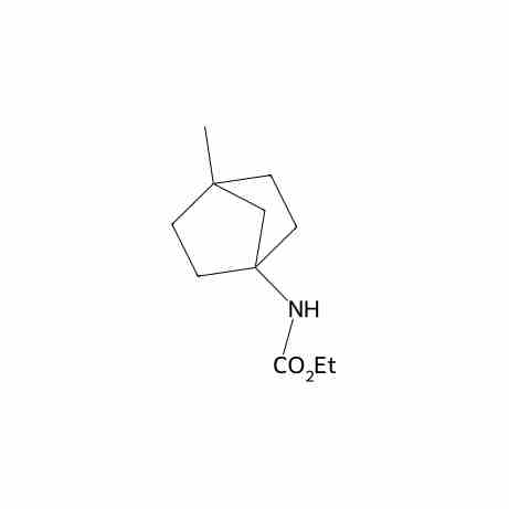 CCOC(=O)NC12CCC(C)(CC1)C2